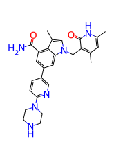 Cc1cc(C)c(Cn2cc(C)c3c(C(N)=O)cc(-c4ccc(N5CCNCC5)nc4)cc32)c(=O)[nH]1